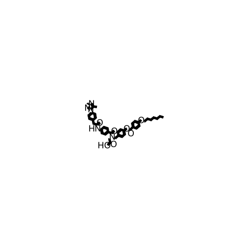 CCCCCCCOc1ccc(C(=O)Oc2ccc(CN(CC(=O)O)C(=O)c3ccc(NC(=O)Cc4ccc(-n5ncnc5C)cc4)cc3)cc2)cc1